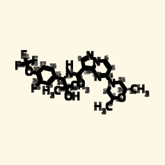 C[C@H]1CN(c2ccn3ncc(C(=O)N[C@@H](c4ccc(OC(F)(F)F)c(F)c4)C(C)(C)O)c3n2)C[C@H](C)O1